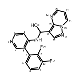 OC(Nc1ccncc1-c1cccc(F)c1F)c1cnn2cccnc12